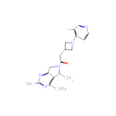 COc1nc(C#N)nc2c1C(C)N(C(=O)CC1CN(c3ccncc3F)C1)C2